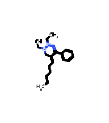 CCCCCC=C1CN(CC)N(CC)N=C1c1ccccc1